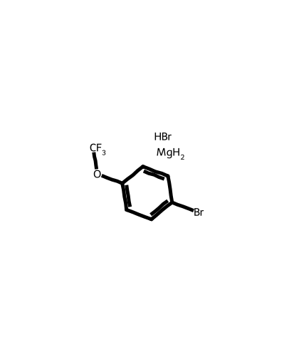 Br.FC(F)(F)Oc1ccc(Br)cc1.[MgH2]